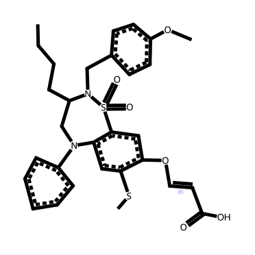 CCCCC1CN(c2ccccc2)c2cc(SC)c(O/C=C/C(=O)O)cc2S(=O)(=O)N1Cc1ccc(OC)cc1